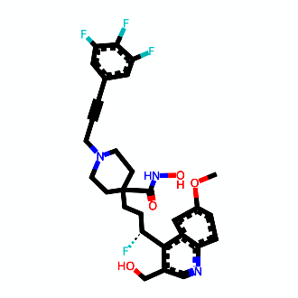 COc1ccc2ncc(CO)c([C@H](F)CCC3(C(=O)NO)CCN(CC#Cc4cc(F)c(F)c(F)c4)CC3)c2c1